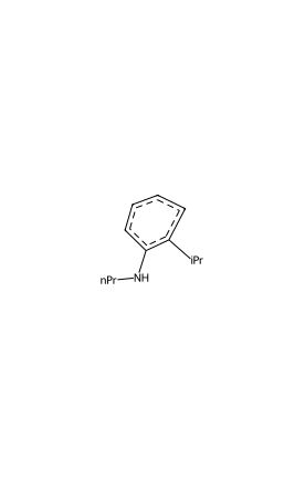 CCCNc1ccccc1C(C)C